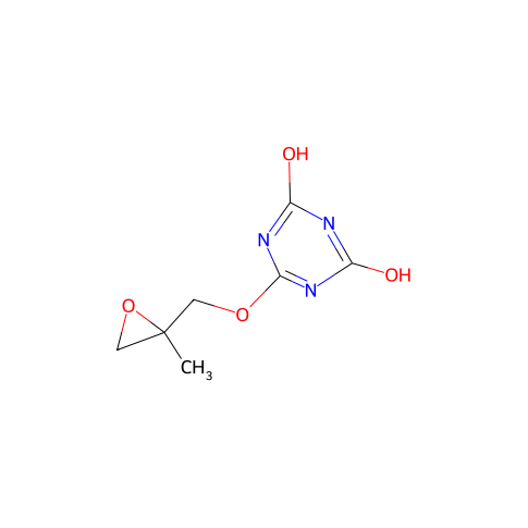 CC1(COc2nc(O)nc(O)n2)CO1